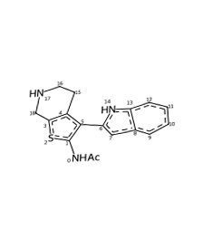 CC(=O)Nc1sc2c(c1-c1cc3ccccc3[nH]1)CCNC2